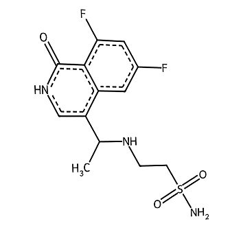 CC(NCCS(N)(=O)=O)c1c[nH]c(=O)c2c(F)cc(F)cc12